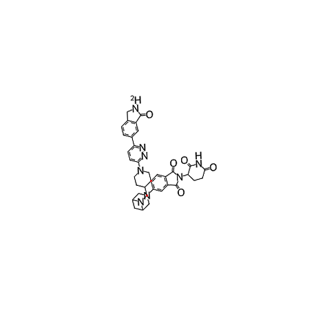 [2H]N1Cc2ccc(-c3ccc(N4CCC(CN5C6CC5CN(c5ccc7c(c5)C(=O)N(C5CCC(=O)NC5=O)C7=O)C6)CC4)nn3)cc2C1=O